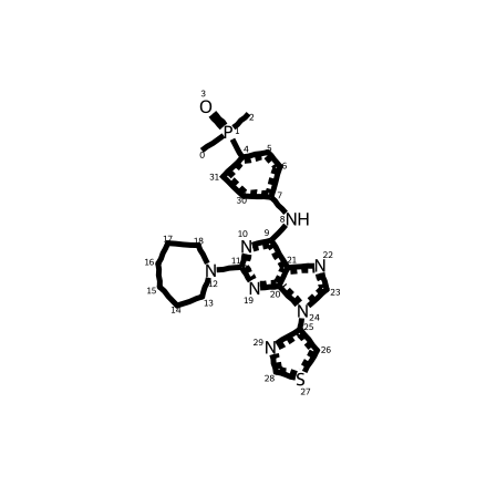 CP(C)(=O)c1ccc(Nc2nc(N3CCCCCC3)nc3c2ncn3-c2cscn2)cc1